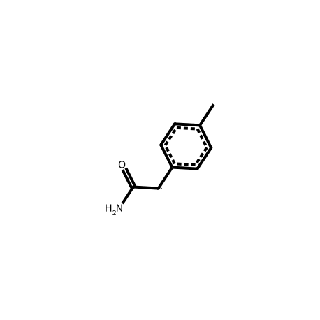 Cc1ccc([CH]C(N)=O)cc1